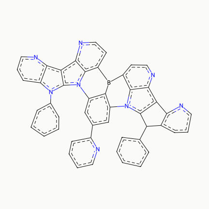 c1ccc(C2c3cccnc3-c3c2n2c4c(ccnc34)B3c4c-2cc(-c2ccccn2)cc4-n2c4c3ccnc4c3c4ncccc4n(-c4ccccc4)c32)cc1